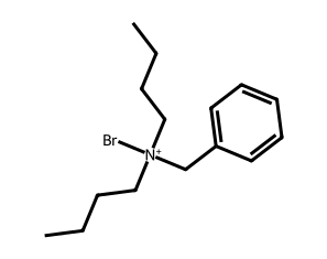 CCCC[N+](Br)(CCCC)Cc1ccccc1